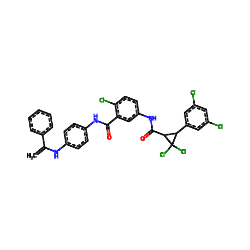 C=C(Nc1ccc(NC(=O)c2cc(NC(=O)C3C(c4cc(Cl)cc(Cl)c4)C3(Cl)Cl)ccc2Cl)cc1)c1ccccc1